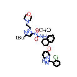 CC(C)(C)c1cc(N(OC=O)C(=O)N[C@H]2CC[C@@H](Oc3ccc4nnc(-c5ccccc5Cl)n4c3)c3ccccc32)n(CCN2CCOCC2)n1